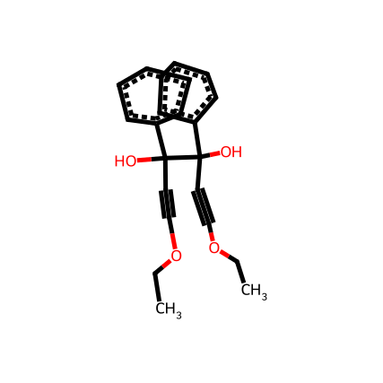 CCOC#CC(O)(c1ccccc1)C(O)(C#COCC)c1ccccc1